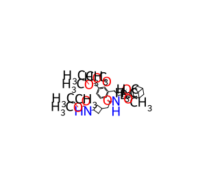 COc1c(C[C@H](NC(=O)CC2CC(NC(=O)OC(C)(C)C)C2)B2OC3CC4CC(C4(C)C)C3(C)O2)cccc1C(=O)OC(C)(C)C